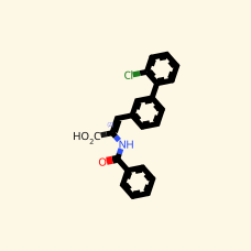 O=C(O)/C(=C/c1cccc(-c2ccccc2Cl)c1)NC(=O)c1ccccc1